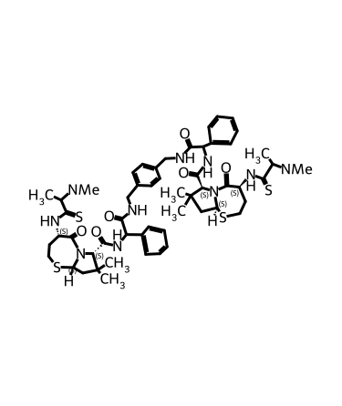 CNC(C)C(=S)N[C@H]1CCS[C@H]2CC(C)(C)[C@@H](C(=O)NC(C(=O)NCc3ccc(CNC(=O)C(NC(=O)[C@H]4N5C(=O)[C@@H](NC(=S)C(C)NC)CCS[C@H]5CC4(C)C)c4ccccc4)cc3)c3ccccc3)N2C1=O